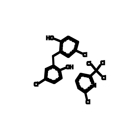 Clc1cccc(C(Cl)(Cl)Cl)n1.Oc1ccc(Cl)cc1Cc1cc(Cl)ccc1O